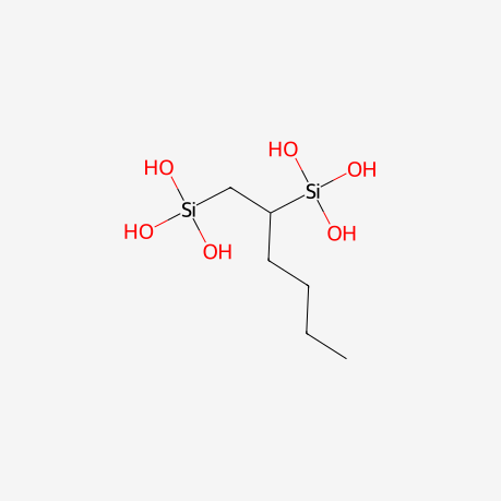 CCCCC(C[Si](O)(O)O)[Si](O)(O)O